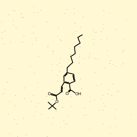 CCCCCCCCc1ccc(C(=O)O)c(/C=C/C(=O)OC(C)(C)C)c1